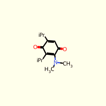 CC(C)C1=CC(=O)C(N(C)C)=C(C(C)C)C1=O